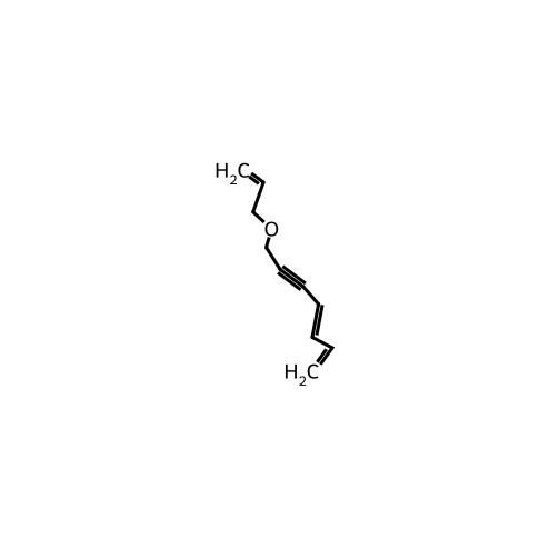 C=C/C=C/C#CCOCC=C